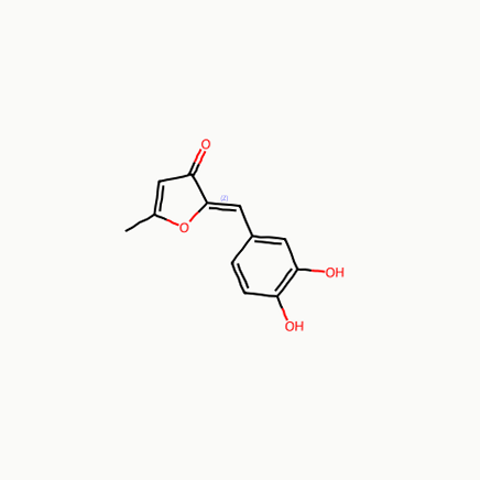 CC1=CC(=O)/C(=C/c2ccc(O)c(O)c2)O1